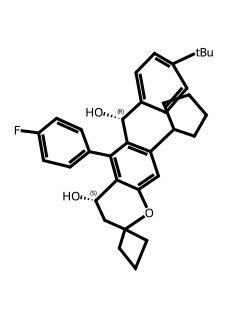 CC(C)(C)c1ccc([C@@H](O)c2c(C3CCCC3)cc3c(c2-c2ccc(F)cc2)[C@@H](O)CC2(CCC2)O3)cc1